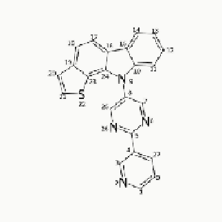 c1cncc(-c2ncc(-n3c4ccccc4c4ccc5ccsc5c43)cn2)c1